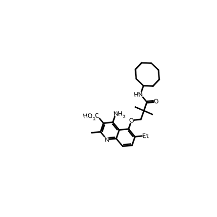 CCc1ccc2nc(C)c(C(=O)O)c(N)c2c1OCC(C)(C)C(=O)NC1CCCCCCC1